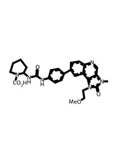 COCCn1c(=O)n(C)c2cnc3ccc(-c4ccc(NC(=O)NC5CCCCN5C(=O)O)cc4)cc3c21